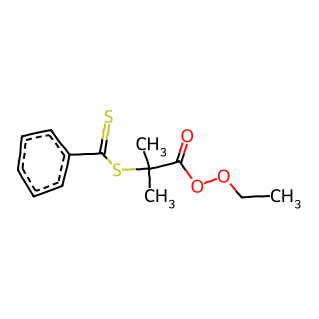 CCOOC(=O)C(C)(C)SC(=S)c1ccccc1